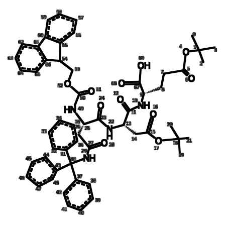 CC(C)(C)OC(=O)CC[C@H](NC(=O)[C@H](CC(=O)OC(C)(C)C)NC(=O)[C@H](CC(=O)NC(c1ccccc1)(c1ccccc1)c1ccccc1)NC(=O)OCC1c2ccccc2-c2ccccc21)C(=O)O